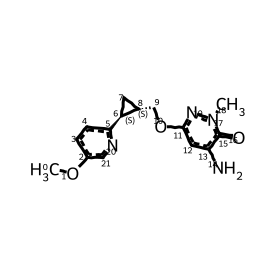 COc1ccc([C@H]2C[C@@H]2COc2cc(N)c(=O)n(C)n2)nc1